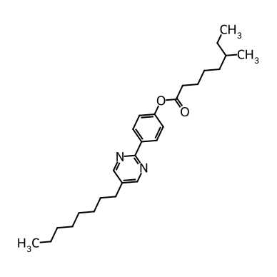 CCCCCCCCc1cnc(-c2ccc(OC(=O)CCCCC(C)CC)cc2)nc1